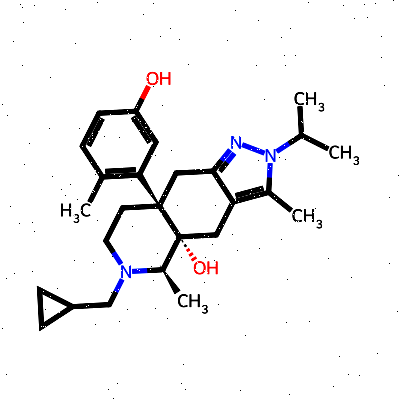 Cc1ccc(O)cc1[C@]12CCN(CC3CC3)[C@H](C)[C@]1(O)Cc1c(nn(C(C)C)c1C)C2